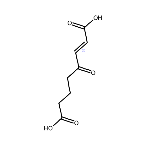 O=C(O)/C=C/C(=O)CCCC(=O)O